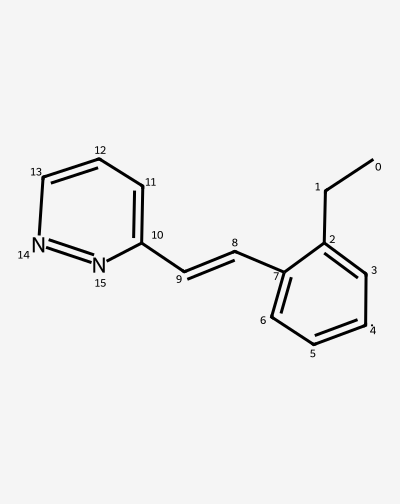 CCc1c[c]ccc1C=Cc1cccnn1